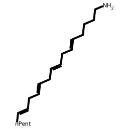 CCCCC/C=C/C/C=C/C/C=C/C/C=C/CCCCN